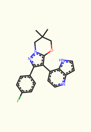 CC1(C)COc2c(-c3ccnc4cc[nH]c34)c(-c3ccc(F)cc3)nn2C1